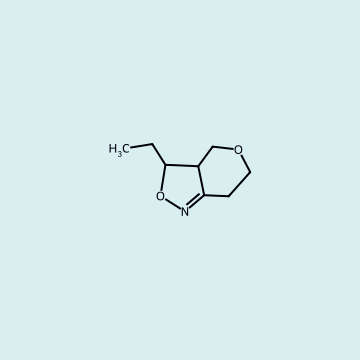 CCC1ON=C2CCOCC21